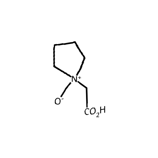 O=C(O)C[N+]1([O-])CCCC1